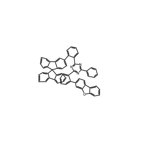 c1ccc(-c2nc(-c3ccccc3-c3ccc4c(c3)-c3ccccc3C43c4ccccc4-c4ccccc43)nc(-c3ccccc3-c3ccc4c(c3)oc3ccccc34)n2)cc1